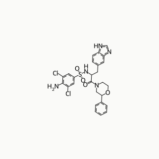 Nc1c(Cl)cc(S(=O)(=O)NC(Cc2ccc3[nH]cnc3c2)C(=O)N2CCOC(c3ccccc3)C2)cc1Cl